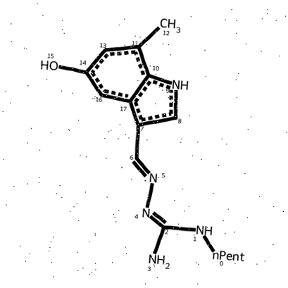 CCCCCNC(N)=NN=Cc1c[nH]c2c(C)cc(O)cc12